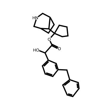 O=C(OC1(C2C3CCC2CNC3)CCCC1)C(O)c1cccc(Cc2ccccc2)c1